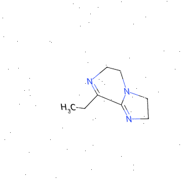 CCC1=NCCN2CCN=C12